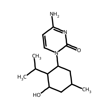 CC1CC(O)C(C(C)C)C(n2ccc(N)nc2=O)C1